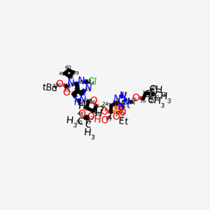 CCOP(=O)(OCC)[C@](CO)(Cc1nnn(COCC[Si](C)(C)C)n1)OC[C@H]1O[C@@H](n2ncc3c(N(C(=O)OC(C)(C)C)C4CCC4)nc(Cl)nc32)[C@@H]2OC(C)(C)O[C@@H]21